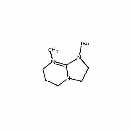 C[N+]1=C2N(CCC1)CCN2C(C)(C)C